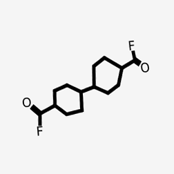 O=C(F)C1CCC(C2CCC(C(=O)F)CC2)CC1